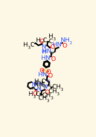 CCCC(=O)NC(C(=O)N[C@@H](CCCNC(N)=O)C(=O)Nc1ccc(S(=O)(=O)NC(=O)/C(C)=C/[C@H](C(C)C)N(C)C(=O)C(NC(=O)[C@H]2CCCCN2C)C(C)(C)C)cc1)C(C)C